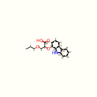 CCCOCC(Oc1cccc2c1[nH]c1ccccc12)C(=O)O